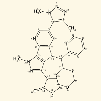 Cc1nnn(C)c1-c1cnc2c3c(c(N4CCNC4=O)nn3C)n(C(c3ccccc3)C3CCOCC3)c2c1